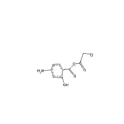 Nc1ccc(C(=O)OC(=O)CCl)c(O)c1